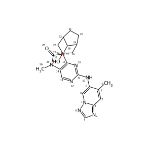 Cc1cc2ncnn2cc1Nc1ncc2c(n1)n(C1C3CCC1CC(O)C3)c(=O)n2C